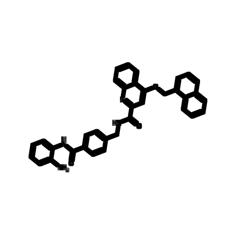 Nc1ccccc1NC(=O)c1ccc(CNC(=O)c2cc(OCc3cccc4ccccc34)c3ccccc3n2)cc1